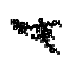 C=CCC(C(=O)NCCCCC(C)(C)C(=O)O)C(=O)NC(C)(C)CCCCC